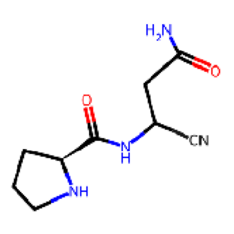 N#CC(CC(N)=O)NC(=O)[C@@H]1CCCN1